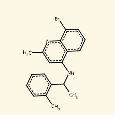 Cc1cc(NC(C)c2ccccc2C)c2cccc(Br)c2n1